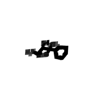 COC(C)(c1ccccc1)C(N)CN